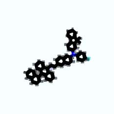 CC1(C)c2ccccc2-c2ccc(N(c3ccc(F)cc3)c3ccc4cc(/C=C/c5c6ccccc6c(-c6cccc7ccccc67)c6ccccc56)ccc4c3)cc21